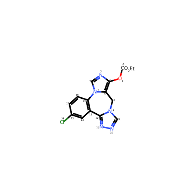 CCOC(=O)Oc1ncn2c1Cn1cnnc1-c1cc(Cl)ccc1-2